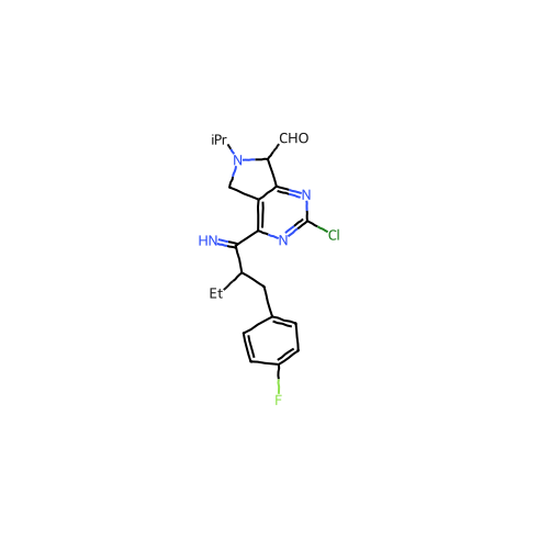 CCC(Cc1ccc(F)cc1)C(=N)c1nc(Cl)nc2c1CN(C(C)C)C2C=O